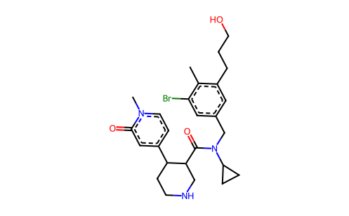 Cc1c(Br)cc(CN(C(=O)C2CNCCC2c2ccn(C)c(=O)c2)C2CC2)cc1CCCO